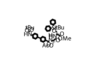 COC(=O)[C@H](CO[Si](c1ccccc1)(c1ccccc1)C(C)(C)C)NC(=O)[C@H](COC(C)=O)NC(=O)c1ccc(-c2ccc(NC(=O)OC(C)(C)C)cc2)cc1